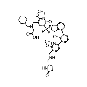 COc1nc(-c2cccc(-c3cccc4c3CC[C@@H]4Oc3nc(OC)c(CN(CC(=O)O)CC4CCCCC4)cc3C(F)(F)F)c2Cl)ccc1CNC[C@@H]1CCC(=O)N1